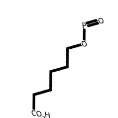 O=POCCCCCC(=O)O